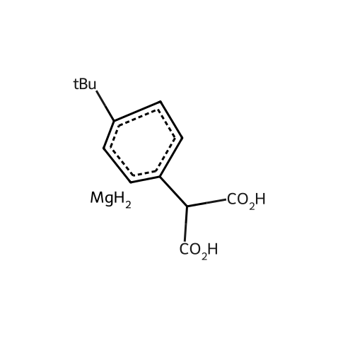 CC(C)(C)c1ccc(C(C(=O)O)C(=O)O)cc1.[MgH2]